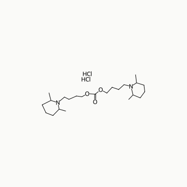 CC1CCCC(C)N1CCCCOC(=O)OCCCCN1C(C)CCCC1C.Cl.Cl